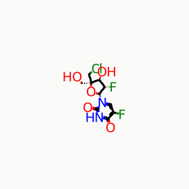 O=c1[nH]c(=O)n([C@@H]2O[C@@](CO)(CCl)[C@@H](O)[C@@H]2F)cc1F